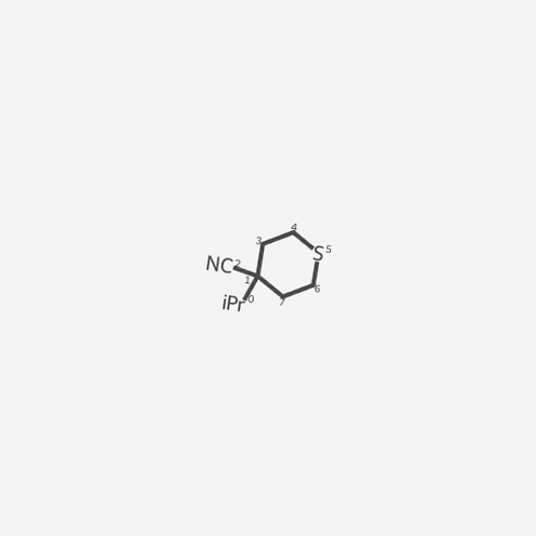 CC(C)C1(C#N)CCSCC1